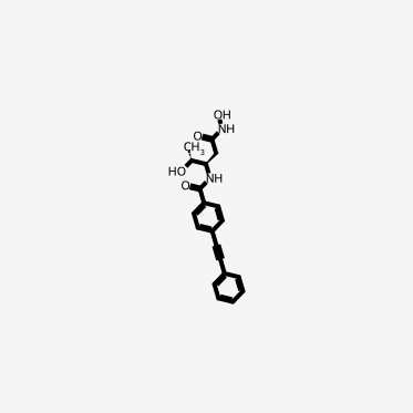 C[C@@H](O)[C@@H](CC(=O)NO)NC(=O)c1ccc(C#Cc2ccccc2)cc1